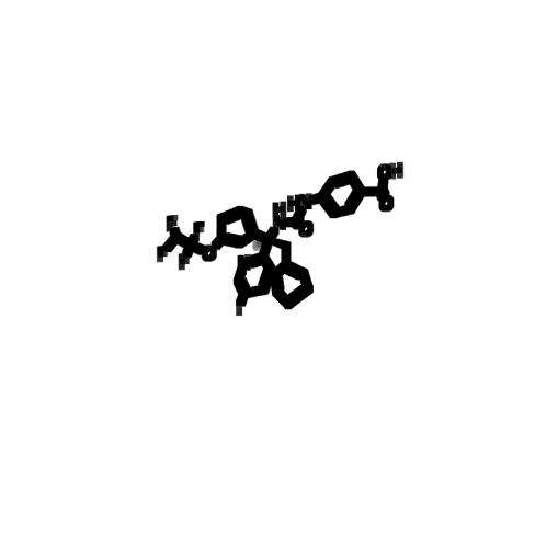 O=C(Nc1ccc(C(=O)O)cc1)N[C@@](Cc1ccccc1)(c1cccc(OC(F)(F)C(F)F)c1)c1ccc(I)cn1